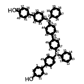 Oc1ccc(-c2ccc(N(c3ccccc3)c3ccc(-c4ccc(N(c5ccccc5)c5ccc(-c6ccc(O)cc6)cc5)cc4)cc3)cc2)cc1